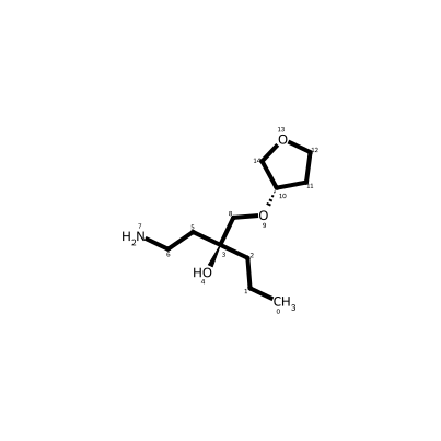 CCC[C@](O)(CCN)CO[C@H]1CCOC1